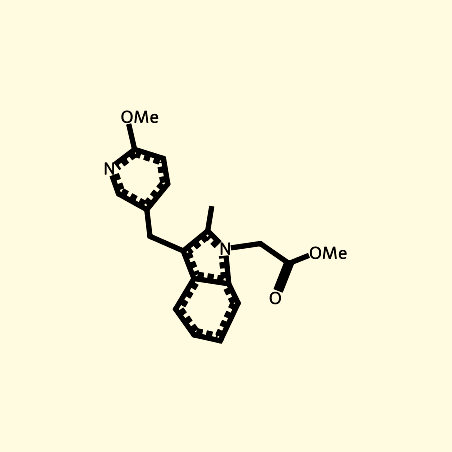 COC(=O)Cn1c(C)c(Cc2ccc(OC)nc2)c2ccccc21